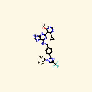 COc1ncnc(C2CC2)c1-c1nc(NCc2ccc(-c3nc(C(F)(F)F)cn3C(C)C)cc2)c2nc[nH]c2n1